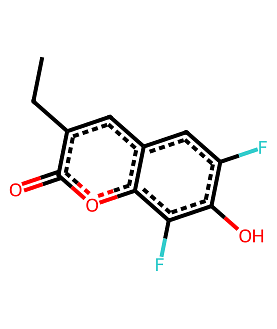 CCc1cc2cc(F)c(O)c(F)c2oc1=O